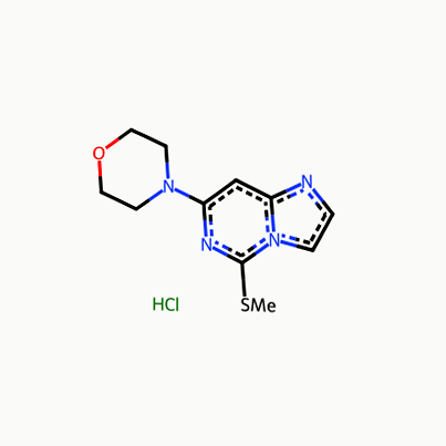 CSc1nc(N2CCOCC2)cc2nccn12.Cl